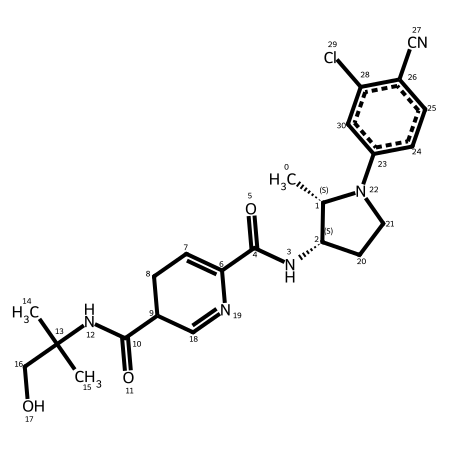 C[C@H]1[C@@H](NC(=O)C2=CCC(C(=O)NC(C)(C)CO)C=N2)CCN1c1ccc(C#N)c(Cl)c1